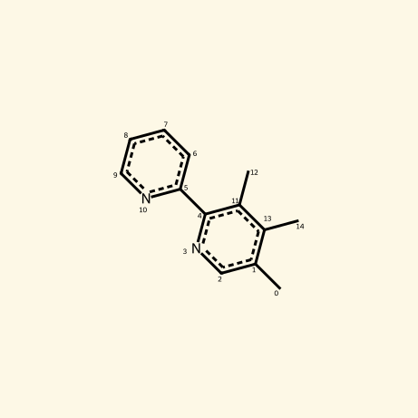 Cc1cnc(-c2ccccn2)c(C)c1C